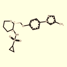 Cc1cnn(-c2ccc(OC[C@H]3OCCC[C@@H]3NS(=O)(=O)C3CC3)cc2)c1